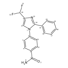 NC(=O)c1ccc(-n2cc(C(F)F)nc2-c2ccccc2)cc1